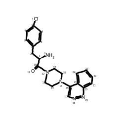 N[C@H](Cc1ccc(Cl)cc1)C(=O)N1CCN(c2cnnc3ccccc23)CC1